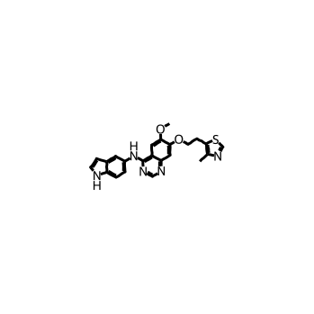 COc1cc2c(Nc3ccc4[nH]ccc4c3)ncnc2cc1OCCc1scnc1C